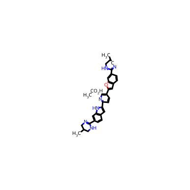 CC(=O)O.CC1CN=C(c2ccc3cc(-c4ccc(-c5cc6ccc(C7=NCC(C)CN7)cc6o5)cn4)[nH]c3c2)NC1